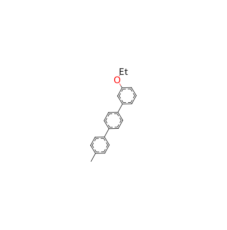 CCOc1cccc(-c2ccc(-c3ccc(C)cc3)cc2)c1